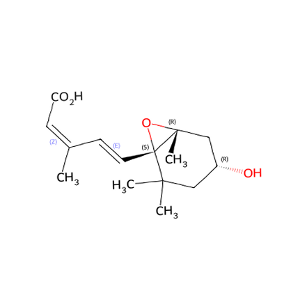 CC(=C/C(=O)O)/C=C/[C@@]12O[C@]1(C)C[C@H](O)CC2(C)C